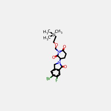 C[Si](C)(C)CCOCN1C(=O)CCC(N2Cc3cc(Br)c(F)cc3C2=O)C1=O